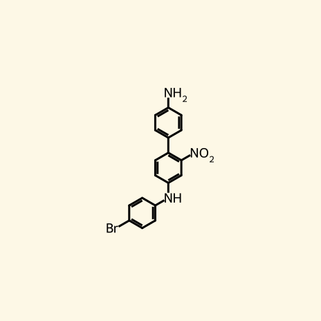 Nc1ccc(-c2ccc(Nc3ccc(Br)cc3)cc2[N+](=O)[O-])cc1